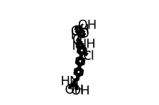 OCC(CO)NCc1ccc(-c2ccc(-c3cc4nc(O[C@@H]5CO[C@H]6[C@@H]5OC[C@H]6O)[nH]c4cc3Cl)cc2)cc1